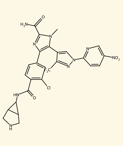 Cn1c(C(N)=O)nc(-c2ccc(C(=O)NC3C4CNCC43)c(Cl)c2)c1-c1cn(-c2ccc([N+](=O)[O-])cn2)nc1C(F)(F)F